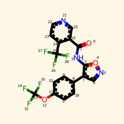 O=C(Nc1oncc1-c1ccc(OC(F)(F)F)cc1)c1cnccc1C(F)(F)F